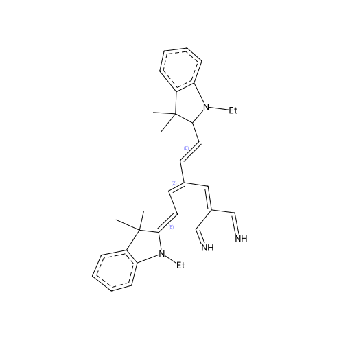 CCN1/C(=C/C=C(C=C(C=N)C=N)/C=C/C2N(CC)c3ccccc3C2(C)C)C(C)(C)c2ccccc21